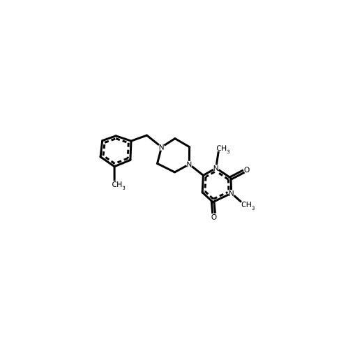 Cc1cccc(CN2CCN(c3cc(=O)n(C)c(=O)n3C)CC2)c1